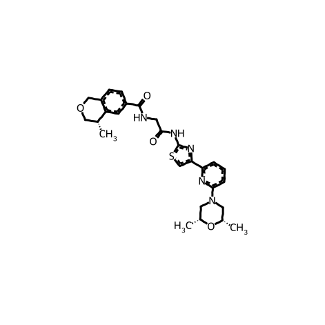 C[C@@H]1CN(c2cccc(-c3csc(NC(=O)CNC(=O)c4ccc5c(c4)[C@H](C)COC5)n3)n2)C[C@H](C)O1